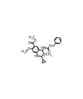 COC(=O)c1cc2c(cc1OC)NC(C1CC1)[C@H](C)C2NC(=O)OCc1ccccc1